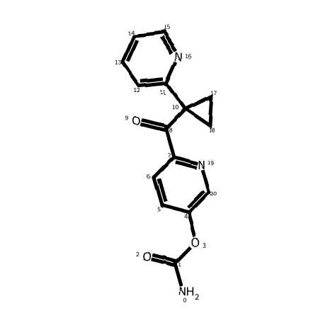 NC(=O)Oc1ccc(C(=O)C2(c3ccccn3)CC2)nc1